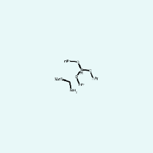 CCCO[SiH](OCCC)OCCC.CNCN